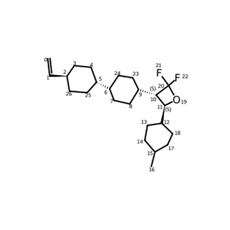 C=C[C@H]1CC[C@H](C2CCC([C@H]3[C@H](C4CCC(C)CC4)OC3(F)F)CC2)CC1